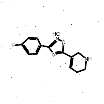 Cl.Fc1ccc(-c2noc(C3=CCCNC3)n2)cc1